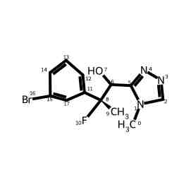 Cn1cnnc1C(O)[C@](C)(F)c1cccc(Br)c1